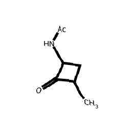 CC(=O)NC1CC(C)C1=O